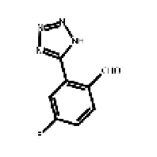 O=Cc1ccc(F)cc1-c1nnn[nH]1